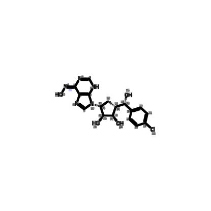 O/N=c1/nc[nH]c2c1ncn2[C@@H]1C[C@H]([C@H](O)c2ccc(Cl)cc2)[C@@H](O)[C@H]1O